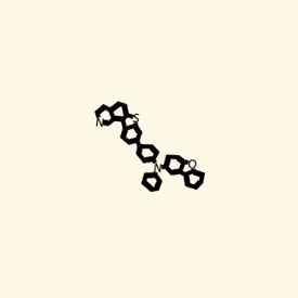 c1ccc(N(c2ccc(-c3ccc4c(c3)sc3ccc5ccncc5c34)cc2)c2ccc3oc4ccccc4c3c2)cc1